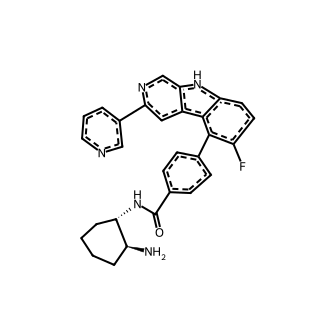 N[C@H]1CCCC[C@@H]1NC(=O)c1ccc(-c2c(F)ccc3[nH]c4cnc(-c5cccnc5)cc4c23)cc1